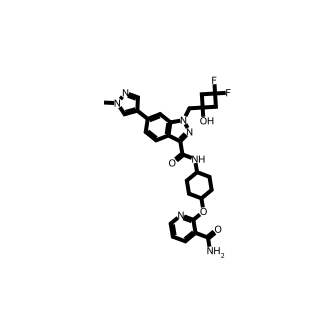 Cn1cc(-c2ccc3c(C(=O)NC4CCC(Oc5ncccc5C(N)=O)CC4)nn(CC4(O)CC(F)(F)C4)c3c2)cn1